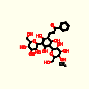 C.O=C(C=CC1C(O)=C(C2O[C@H](CO)[C@@H](O)[C@H](O)[C@H]2O)C(O)=C(C2O[C@H](CO)[C@@H](O)[C@H](O)[C@H]2O)C1O)c1ccccc1